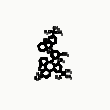 C=C/C=C\C1c2cc(C(C)(C)C)cc(C)c2N(c2cc(C)cc(N3c4ccc(C(C)(C)C)cc4C4(C)CCCCC34C)c2)c2cccc3oc(C)c1c23